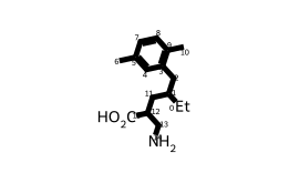 CCC(Cc1cc(C)ccc1C)CC(CN)C(=O)O